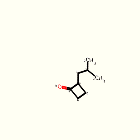 CC(C)CC1CCC1=O